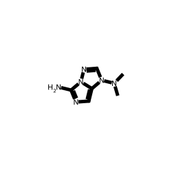 CN(C)n1cnn2c(N)ncc12